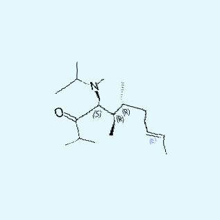 C/C=C/C[C@@H](C)[C@@H](C)[C@@H](C(=O)C(C)C)N(C)C(C)C